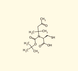 CC(=O)CC(C)(C)N(C(=O)OC(C)(C)C)[C@@H](CS)C(=O)O